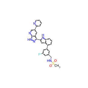 CS(=O)(=O)NCc1cc(F)cc(-c2cccc3[nH]c(-c4n[nH]c5ncc(-c6ccccn6)cc45)cc23)c1